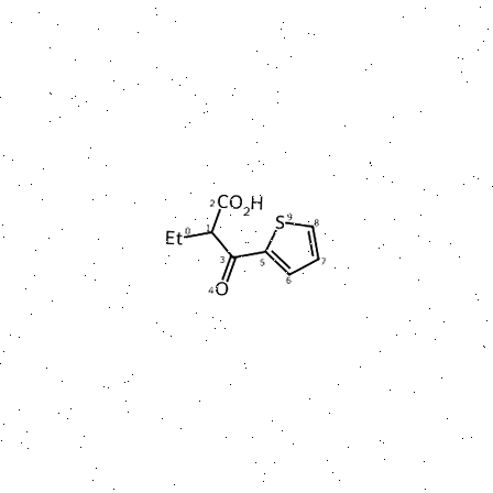 CCC(C(=O)O)C(=O)c1cccs1